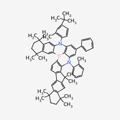 Cc1cc(C(C)(C)C)ccc1N1c2cc3c(cc2B2c4ccc5c(c4N(c4ccccc4C)c4cc(-c6ccccc6)cc1c42)C(C)(C)c1cc2c(cc1-5)C(C)(C)CCC2(C)C)C(C)(C)CCC3(C)C